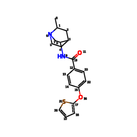 CC1CC2CCN1CC2NC(=O)c1ccc(Oc2cccs2)cc1